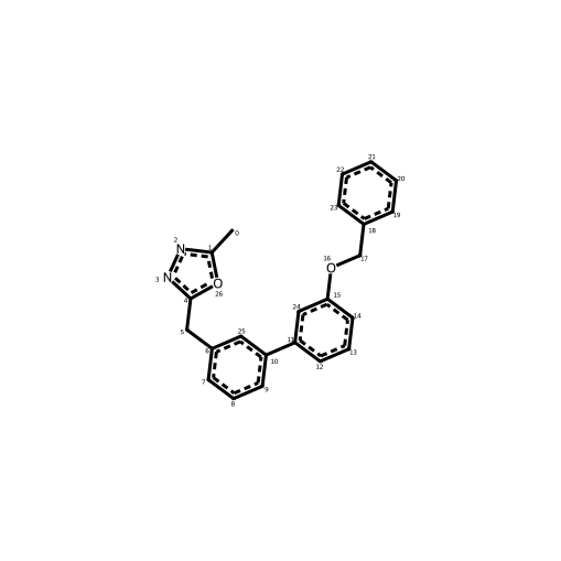 Cc1nnc(Cc2cccc(-c3cccc(OCc4ccccc4)c3)c2)o1